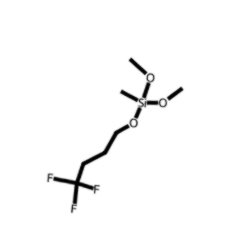 CO[Si](C)(OC)OCCCC(F)(F)F